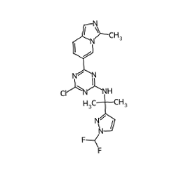 Cc1ncc2ccc(-c3nc(Cl)nc(NC(C)(C)c4ccn(C(F)F)n4)n3)cn12